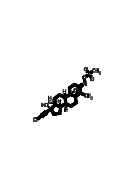 CC1=C2CC[C@@H]3[C@H](CC[C@@]4(C)[C@H]3CC[C@@]4(O)C#CCl)[C@@]2(C)CC/C1=N\OS(C)(=O)=O